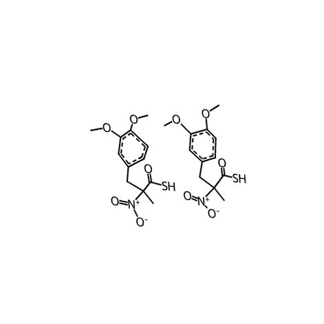 COc1ccc(CC(C)(C(=O)S)[N+](=O)[O-])cc1OC.COc1ccc(CC(C)(C(=O)S)[N+](=O)[O-])cc1OC